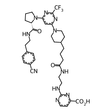 N#Cc1ccc(CCNC(=O)[C@@H]2CCCN2c2cc(N3CCC(CCCC(=O)NCCNc4nccc(C(=O)O)n4)CC3)nc(C(F)(F)F)n2)cc1